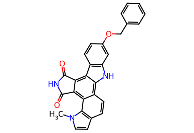 Cn1ccc2ccc3c4[nH]c5cc(OCc6ccccc6)ccc5c4c4c(c3c21)C(=O)NC4=O